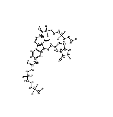 C=CC1=C(/C=C\NC(=O)C(C)(C)CCOC(C)(C)CCOC)c2ccc(NC(=O)CCC(C)(C)OCCC(C)(C)OC)cc2C1COC(=O)ON1C(=O)CC(C)C1=O